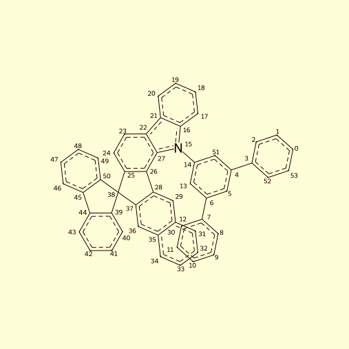 c1ccc(-c2cc(-c3ccccc3)cc(-n3c4ccccc4c4ccc5c(c43)-c3cc4ccccc4cc3C53c4ccccc4-c4ccccc43)c2)cc1